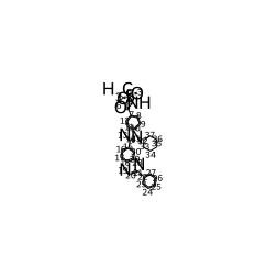 CS(=O)(=O)NC(=O)c1ccc2c(c1)nc(-c1ccc3ncc(-c4ccccc4)nc3c1)n2C1CCCCC1